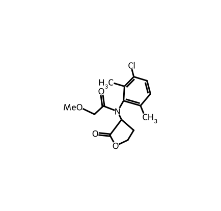 COCC(=O)N(c1c(C)ccc(Cl)c1C)C1CCOC1=O